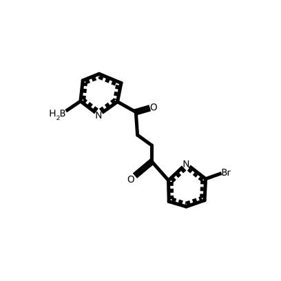 Bc1cccc(C(=O)CCC(=O)c2cccc(Br)n2)n1